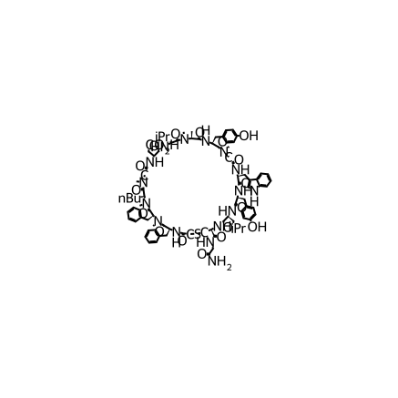 CCCC[C@H]1C(=O)N(C)CC(=O)NC(CC(=O)O)C(=O)N[C@@H](C(C)C)C(=O)N(C)[C@@H](C)C(=O)N[C@@H](Cc2ccc(O)cc2)C(=O)N(C)CC(=O)N[C@@H](Cc2c[nH]c3ccccc23)C(=O)N[C@@H](Cc2ccc(O)cc2)C(=O)N[C@@H](CC(C)C)C(=O)N[C@@H](C(=O)NCC(N)=O)CSCC(=O)N[C@@H](Cc2ccccc2)C(=O)N(C)[C@@H](Cc2ccccc2)C(=O)N1C